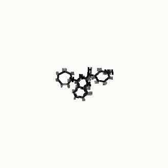 c1ccc2c(N3CCCCCC3)nc(N[C@@H]3CCCNC3)nc2c1